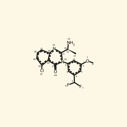 COc1cc(C(F)F)cc(-n2c([C@H](C)N)nc3cccc(Cl)c3c2=O)c1